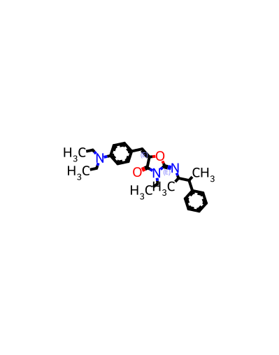 CCN1C(=O)/C(=C\c2ccc(N(CC)CC)cc2)O/C1=N/C(C)C(C)c1ccccc1